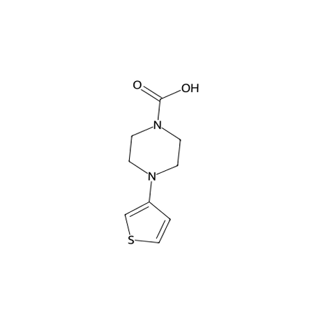 O=C(O)N1CCN(c2ccsc2)CC1